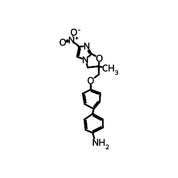 CC1(COc2ccc(-c3ccc(N)cc3)cc2)Cn2cc([N+](=O)[O-])nc2O1